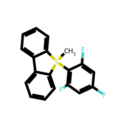 CS1(c2c(F)cc(F)cc2F)c2ccccc2-c2ccccc21